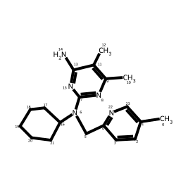 Cc1ccc(CN(c2nc(C)c(C)c(N)n2)C2CCCCC2)nc1